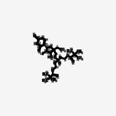 CC[C@]1(COP(=O)(OCOC(=O)C(C)(C)C)OCOC(=O)C(C)(C)C)O[C@@H](n2ccc(=O)[nH]c2=O)[C@H](F)[C@@H]1O